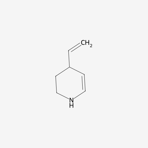 C=CC1C=CNCC1